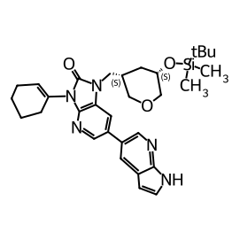 CC(C)(C)[Si](C)(C)O[C@@H]1COC[C@H](Cn2c(=O)n(C3=CCCCC3)c3ncc(-c4cnc5[nH]ccc5c4)cc32)C1